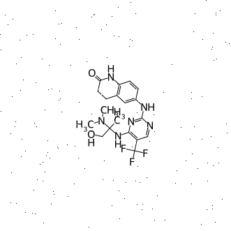 CN(C)C(C)(CO)Nc1nc(Nc2ccc3c(c2)CCC(=O)N3)ncc1C(F)(F)F